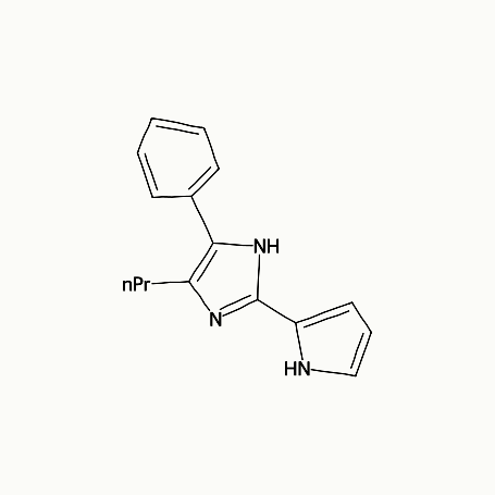 CCCc1nc(-c2ccc[nH]2)[nH]c1-c1ccccc1